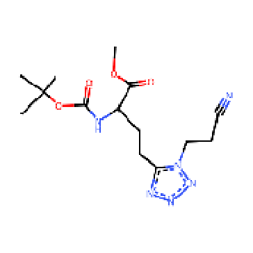 COC(=O)C(CCc1nnnn1CCC#N)NC(=O)OC(C)(C)C